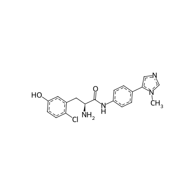 Cn1cncc1-c1ccc(NC(=O)[C@@H](N)Cc2cc(O)ccc2Cl)cc1